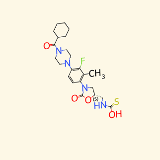 Cc1c(N2C[C@H](CNC(O)=S)OC2=O)ccc(N2CCN(C(=O)C3CCCCC3)CC2)c1F